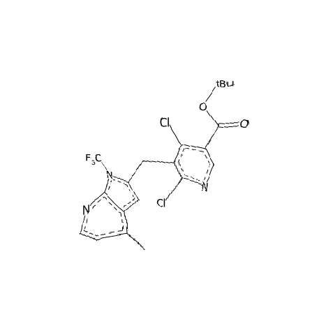 Cc1ccnc2c1cc(Cc1c(Cl)ncc(C(=O)OC(C)(C)C)c1Cl)n2C(F)(F)F